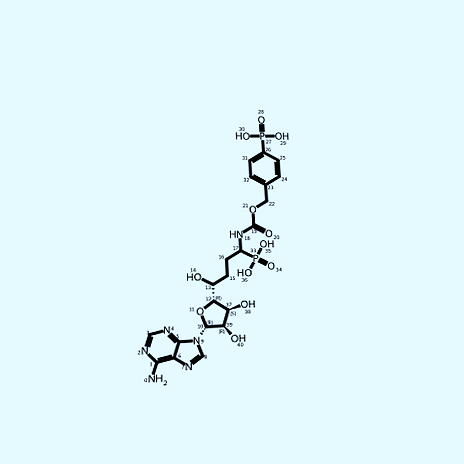 Nc1ncnc2c1ncn2[C@@H]1O[C@H](C(O)CCC(NC(=O)OCc2ccc(P(=O)(O)O)cc2)P(=O)(O)O)[C@@H](O)[C@H]1O